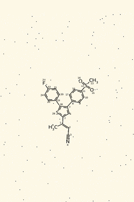 CC(=CC#N)c1cc(-c2ccc(S(C)(=O)=O)cc2)c(-c2ccc(F)cc2)s1